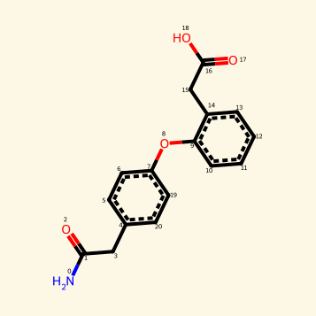 NC(=O)Cc1ccc(Oc2ccccc2CC(=O)O)cc1